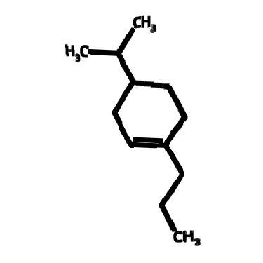 CCCC1=CCC([C](C)C)CC1